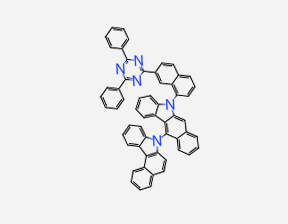 c1ccc(-c2nc(-c3ccccc3)nc(-c3ccc4cccc(-n5c6ccccc6c6c(-n7c8ccccc8c8c9ccccc9ccc87)c7ccccc7cc65)c4c3)n2)cc1